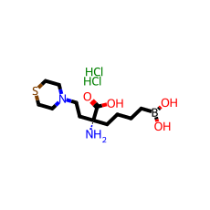 Cl.Cl.N[C@](CCCCB(O)O)(CCN1CCSCC1)C(=O)O